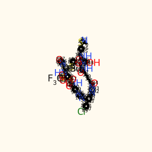 Cc1ncsc1-c1ccc([C@H](C)NC(=O)[C@@H]2C[C@@H](O)CN2C(=O)[C@@H](NC(=O)CCCCCCC(=O)N2CCN(C[C@@]3(C)CCC(c4ccc(Cl)cc4)=C(CN4CCN(c5ccc(C(=O)NS(=O)(=O)c6ccc(N[C@@H](CCSc7ccccc7)CCN7CCOCC7)c(S(=O)(=O)C(F)(F)F)c6)cc5)CC4)C3)CC2)C(C)(C)C)cc1